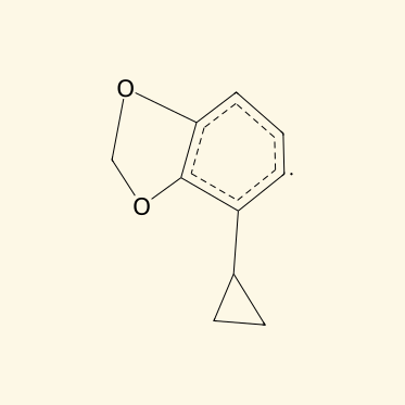 [c]1ccc2c(c1C1CC1)OCO2